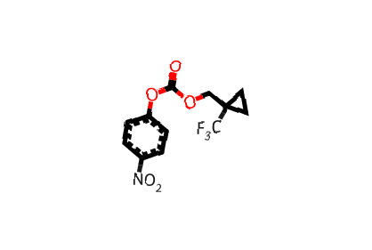 O=C(OCC1(C(F)(F)F)CC1)Oc1ccc([N+](=O)[O-])cc1